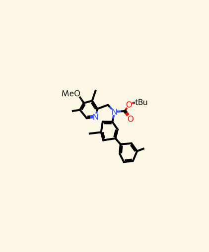 COc1c(C)cnc(CN(C(=O)OC(C)(C)C)c2cc(C)cc(-c3cccc(C)c3)c2)c1C